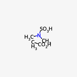 CC(=O)O.CN(C)S(=O)(=O)O